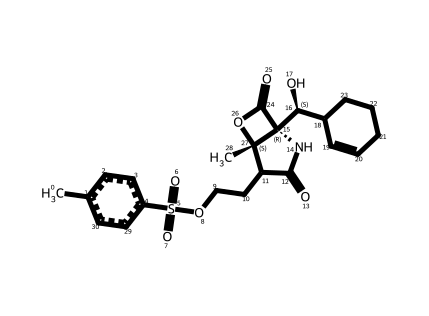 Cc1ccc(S(=O)(=O)OCCC2C(=O)N[C@@]3([C@@H](O)C4C=CCCC4)C(=O)O[C@@]23C)cc1